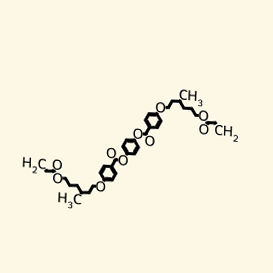 C=CC(=O)OCCCC(C)CCOc1ccc(C(=O)Oc2ccc(OC(=O)c3ccc(OCCC(C)CCCOC(=O)C=C)cc3)cc2)cc1